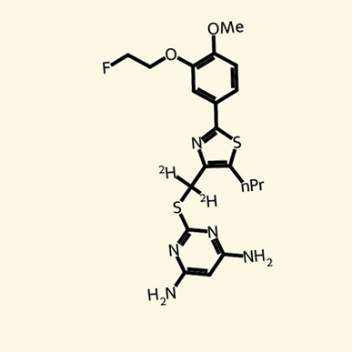 [2H]C([2H])(Sc1nc(N)cc(N)n1)c1nc(-c2ccc(OC)c(OCCF)c2)sc1CCC